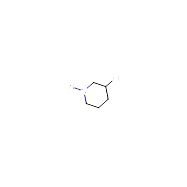 CC1CCCN([N+](=O)[O-])C1